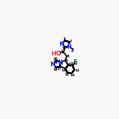 Cn1ccnc1C(O)CC1c2c(F)cccc2-c2cncn21